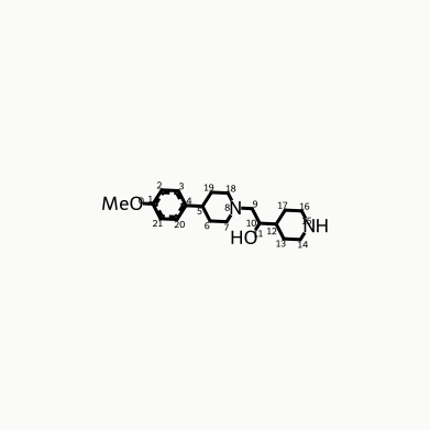 COc1ccc(C2CCN(CC(O)C3CCNCC3)CC2)cc1